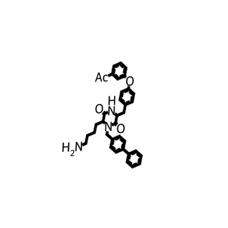 CC(=O)c1cccc(Oc2ccc(CC3NC(=O)C(CCCCN)N(Cc4ccc(-c5ccccc5)cc4)C3=O)cc2)c1